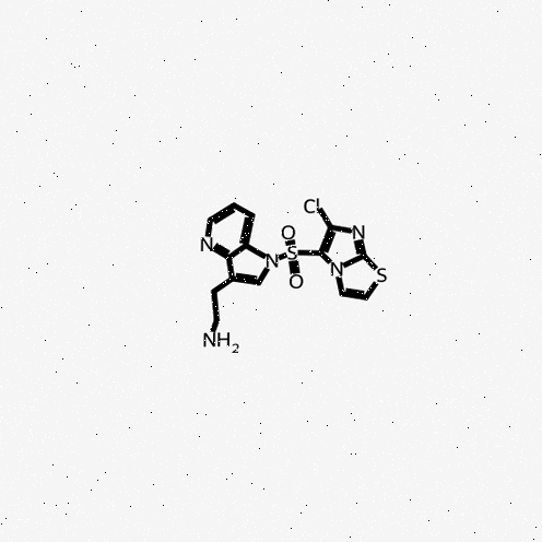 NCCc1cn(S(=O)(=O)c2c(Cl)nc3sccn23)c2cccnc12